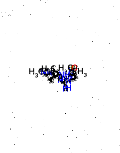 Cc1cc(Nc2ncc(C#N)c(Nc3cccc(N=S(C)(C)=O)n3)n2)cc(C2CC2)c1N1CCN(C)CC1